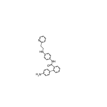 Nc1ccc(-c2ccccc2C(=O)Nc2ccc(NCCc3ccccn3)cc2)cc1